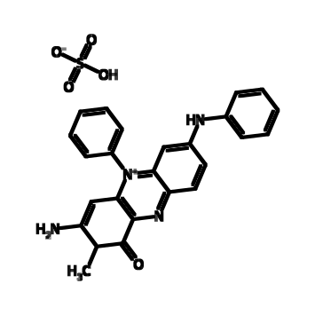 CC1C(=O)c2nc3ccc(Nc4ccccc4)cc3[n+](-c3ccccc3)c2C=C1N.O=S(=O)([O-])O